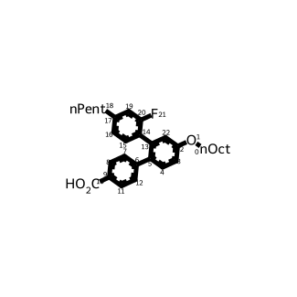 CCCCCCCCOc1ccc(-c2ccc(C(=O)O)cc2)c(-c2ccc(CCCCC)cc2F)c1